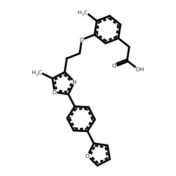 Cc1ccc(CC(=O)O)cc1OCCc1nc(-c2ccc(-c3ccco3)cc2)oc1C